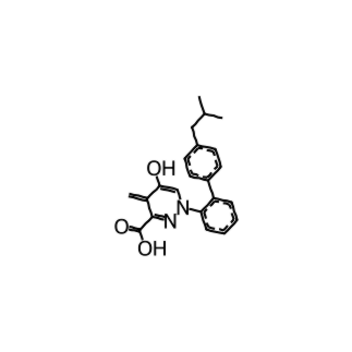 C=C1C(O)=CN(c2ccccc2-c2ccc(CC(C)C)cc2)N=C1C(=O)O